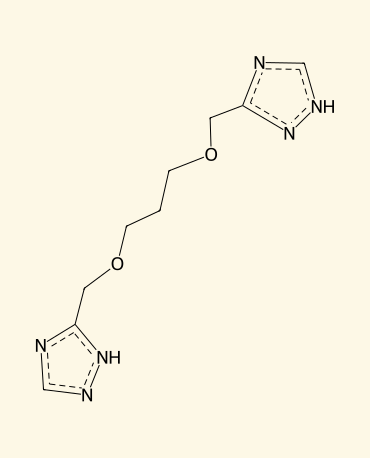 c1n[nH]c(COCCCOCc2nc[nH]n2)n1